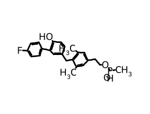 Cc1cc(CCO[PH](C)=O)cc(C)c1Cc1ccc(O)c(-c2ccc(F)cc2)c1